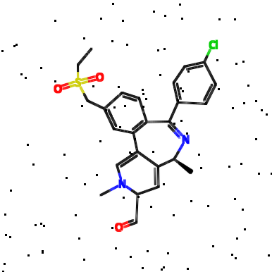 CCS(=O)(=O)Cc1ccc2c(c1)C1=CN(C)C(C=O)C=C1[C@H](C)N=C2c1ccc(Cl)cc1